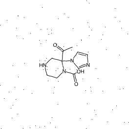 CC(=O)C1(n2ccnc2)CNCCN1C(=O)O